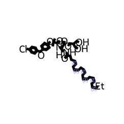 CC/C=C\C/C=C\C/C=C\C/C=C\C/C=C\C/C=C\CCC(=O)NCC(NC(=O)C(C)(C)Oc1ccc(C(=O)c2ccc(Cl)cc2)cc1)C(=O)OCC(CO)CO